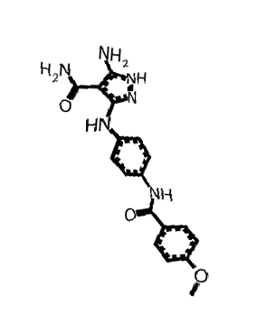 COc1ccc(C(=O)Nc2ccc(Nc3n[nH]c(N)c3C(N)=O)cc2)cc1